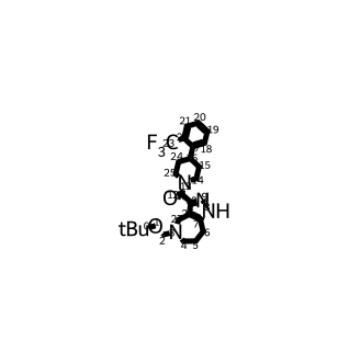 CC(C)(C)OCN1CCCc2[nH]nc(C(=O)N3CCC(c4ccccc4C(F)(F)F)CC3)c2C1